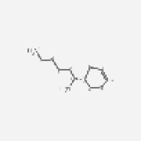 NCCCCC(N)[C@@H]1CC=CCC1